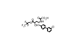 O=C(O)C(=O)N[C@H](Cc1ccc(-c2cccc(Cl)c2)cc1)C[C@@H](O)C(=O)OCC(F)(F)C(F)(F)F